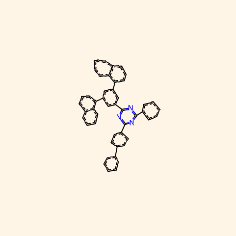 c1ccc(-c2ccc(-c3nc(-c4ccccc4)nc(-c4cc(-c5cccc6ccccc56)cc(-c5cccc6ccccc56)c4)n3)cc2)cc1